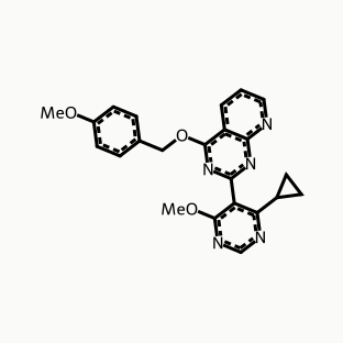 COc1ccc(COc2nc(-c3c(OC)ncnc3C3CC3)nc3ncccc23)cc1